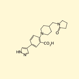 O=C(O)c1cc(-c2cn[nH]c2)ccc1N1CCC(CN2CCCC2=O)CC1